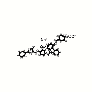 COc1cc(Cn2c3ccccc3c3c(OCc4ccc(C(=O)[O-])cc4)cccc32)ccc1OCc1nc(-c2ccccc2)oc1C.[Na+]